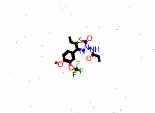 CCC(=O)NN1N=C(c2ccc(OC)c(OC(F)(F)F)c2)C(CC)SC1=O